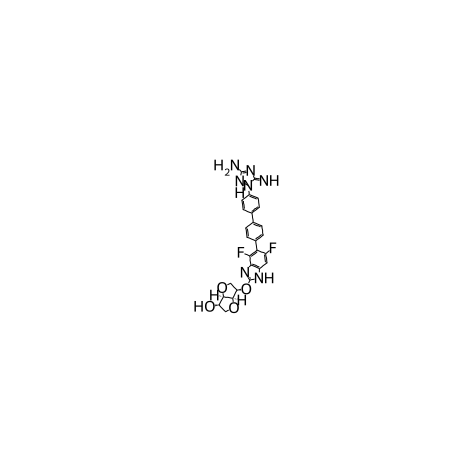 N=c1nc(N)[nH]n1-c1ccc(-c2ccc(-c3c(F)cc4[nH]c(O[C@@H]5CO[C@H]6[C@@H]5OC[C@H]6O)nc4c3F)cc2)cc1